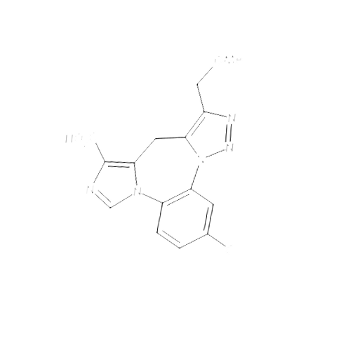 COCc1nnn2c1Cc1c(C(=O)O)ncn1-c1ccc(Cl)cc1-2